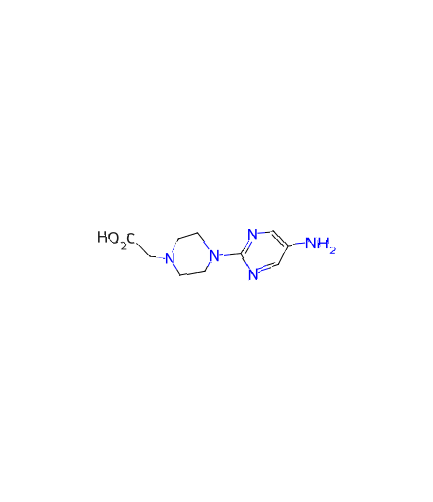 Nc1cnc(N2CCN(CC(=O)O)CC2)nc1